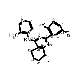 Cc1cnccc1Nc1nc(-c2cc(Cl)ccc2F)nc2c1CCCC2